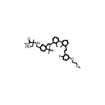 COCCOc1ccc(F)c(/C=C/c2cccc(-c3cccc(/C=C/c4cc(CNC(C)(CO)C(=O)OC)ccc4C(F)(F)F)c3C)c2C)c1